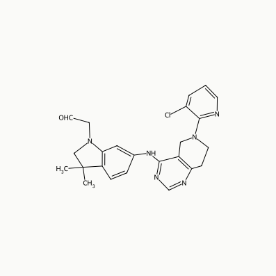 CC1(C)CN(CC=O)c2cc(Nc3ncnc4c3CN(c3ncccc3Cl)CC4)ccc21